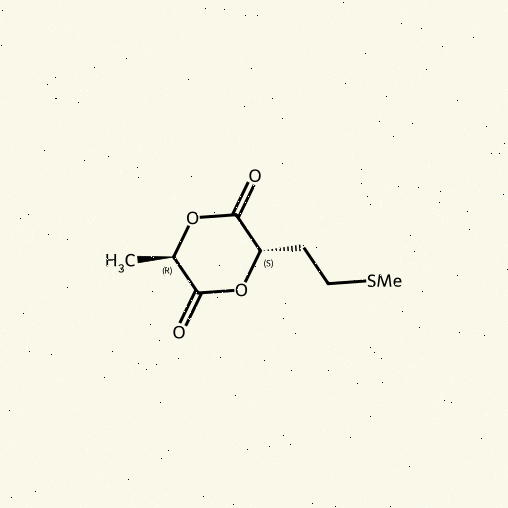 CSCC[C@@H]1OC(=O)[C@@H](C)OC1=O